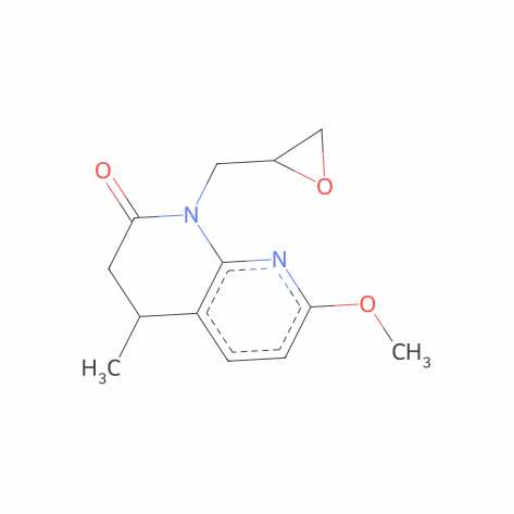 COc1ccc2c(n1)N(CC1CO1)C(=O)CC2C